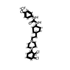 O=C(Nc1ccc(OC(F)(F)F)cc1)NC1CCC(CCN2CCN(c3cccc(Cl)c3Cl)CC2)CC1